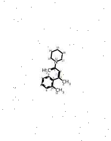 C=C(/C=C(/C)c1ccccc1C)N1CCCCC1